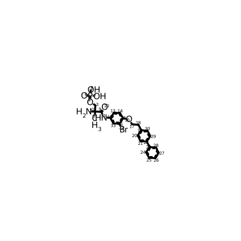 CC(N)(COP(=O)(O)O)C(=O)Nc1ccc(OCCc2ccc(-c3ccccc3)cc2)c(Br)c1